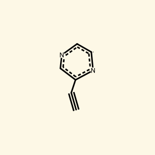 C#Cc1cnc[c]n1